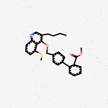 CCCCc1cnc2cccc(SC)c2c1OCc1ccc(-c2ccccc2C(=O)OC)cc1